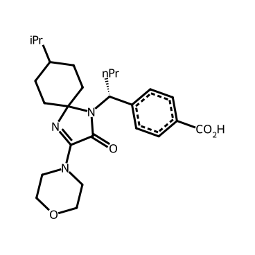 CCC[C@H](c1ccc(C(=O)O)cc1)N1C(=O)C(N2CCOCC2)=NC12CCC(C(C)C)CC2